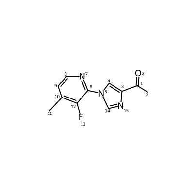 CC(=O)c1cn(-c2nccc(C)c2F)cn1